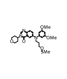 COc1cc(OC)cc(N(CCCOSC)c2ccc3ncn(C4CCOCC4)c(=O)c3c2)c1